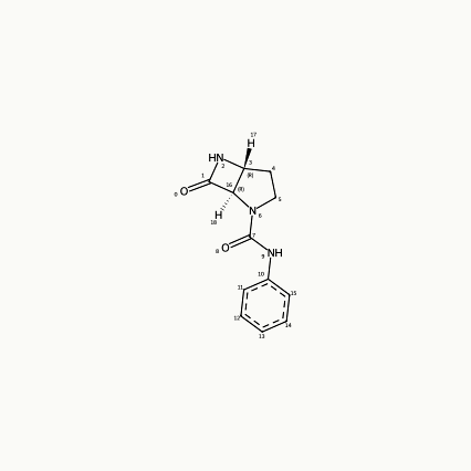 O=C1N[C@@H]2CCN(C(=O)Nc3ccccc3)[C@@H]12